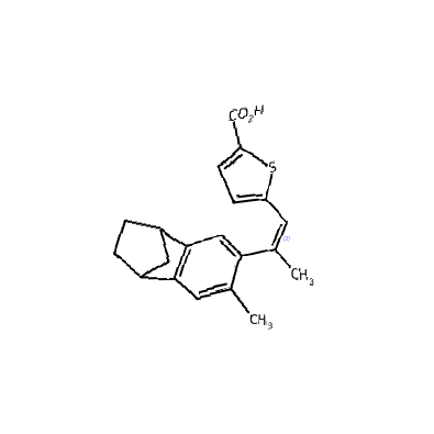 C/C(=C/c1ccc(C(=O)O)s1)c1cc2c(cc1C)C1CCC2C1